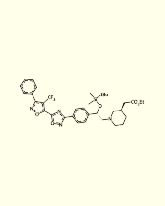 CCOC(=O)C[C@H]1CCCN(C[C@@H](O[Si](C)(C)C(C)(C)C)c2ccc(-c3noc(-c4onc(-c5ccccc5)c4C(F)(F)F)n3)cc2)C1